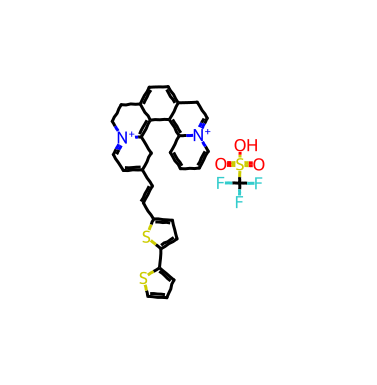 C1=C(/C=C/c2ccc(-c3cccs3)s2)CC2=c3c(ccc4c3=c3cccc[n+]3=CC4)CC[N+]2=C1.O=S(=O)(O)C(F)(F)F